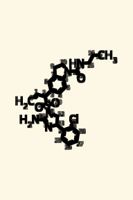 C=CC(c1ccc2c(c1)CCN2C(=O)NCCC)S(=O)(=O)N1CC(c2ccccc2Cl)N=C1N